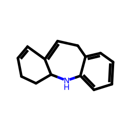 C1=CC2=CCc3ccccc3NC2CC1